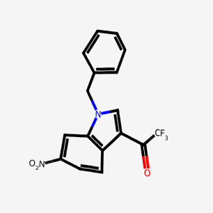 O=C(c1cn(Cc2ccccc2)c2cc([N+](=O)[O-])ccc12)C(F)(F)F